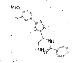 COc1ccc(-c2nnc(C(CO)NC(=O)c3ccccc3)o2)cc1F